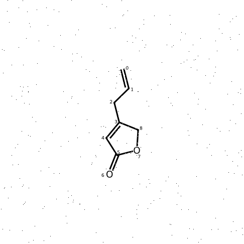 C=CCC1=CC(=O)OC1